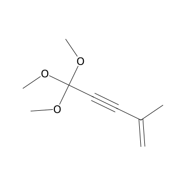 C=C(C)C#CC(OC)(OC)OC